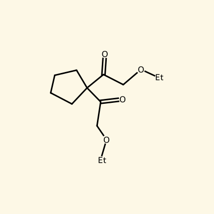 CCOCC(=O)C1(C(=O)COCC)CCCC1